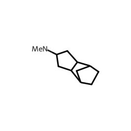 CNC1CC2C3CCC(C3)C2C1